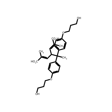 CC(=CC(C=C(C)C(=O)O)C(C)(c1ccc(OCCCO)cc1)c1ccc(OCCCO)cc1)C(=O)O